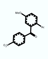 COc1ccc(C(C)=O)c(C(=O)c2ccc([N+](=O)[O-])cc2)c1